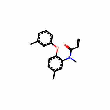 C=CC(=O)N(C)c1cc(C)ccc1Oc1cccc(C)c1